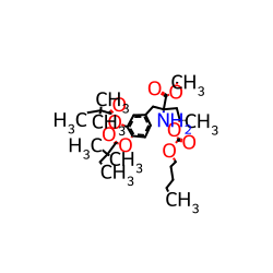 CCCCCOC(=O)O[C@@H](C)CC(N)(Cc1ccc(OC(=O)C(C)(C)CC)c(OC(=O)C(C)(C)CC)c1)C(=O)OC